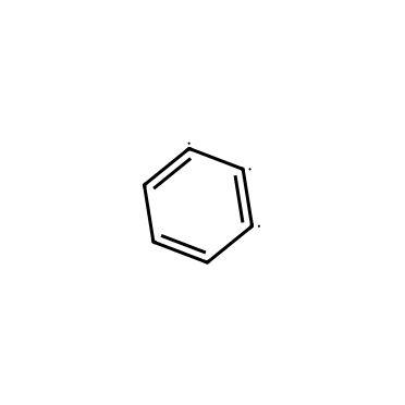 [c]1[c]ccc[c]1